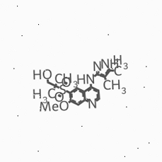 COc1cc2nccc(Nc3n[nH]c(C)c3C)c2cc1S(=O)(=O)C(C)(C)CO